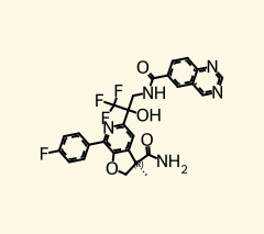 C[C@]1(C(N)=O)COc2c1cc(C(O)(CNC(=O)c1ccc3ncncc3c1)C(F)(F)F)nc2-c1ccc(F)cc1